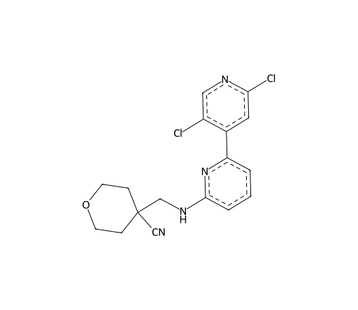 N#CC1(CNc2cccc(-c3cc(Cl)ncc3Cl)n2)CCOCC1